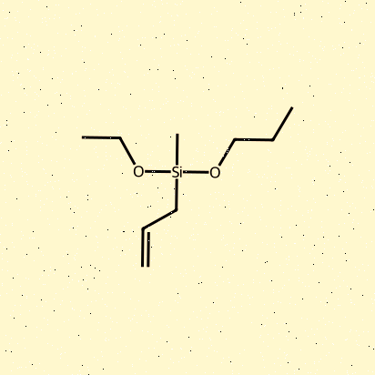 C=CC[Si](C)(OCC)OCCC